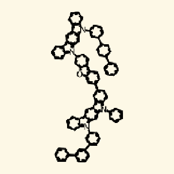 c1ccc(-c2ccc(-c3cccc(-n4c5ccccc5c5cc6c7ccccc7n(-c7ccc8c(c7)oc7cc(-c9ccc%10c(c9)c9cc%11c%12ccccc%12n(-c%12cccc(-c%13cccc(-c%14ccccc%14)c%13)c%12)c%11cc9n%10-c9ccccc9)ccc78)c6cc54)c3)cc2)cc1